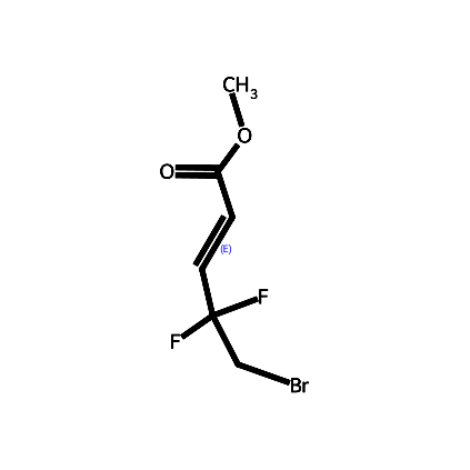 COC(=O)/C=C/C(F)(F)CBr